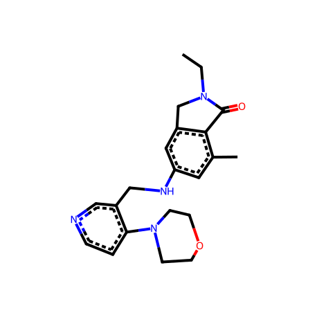 CCN1Cc2cc(NCc3cnccc3N3CCOCC3)cc(C)c2C1=O